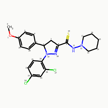 COc1ccc(C2CC(C(=S)NN3CCCCC3)=NN2c2ccc(Cl)cc2Cl)cc1